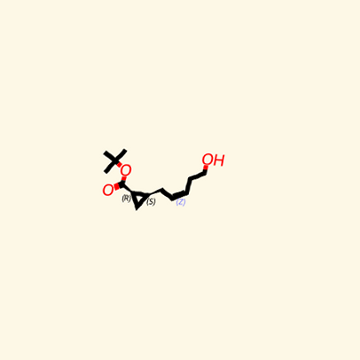 CC(C)(C)OC(=O)[C@@H]1C[C@@H]1C/C=C\CCO